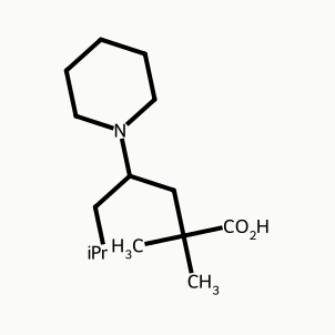 CC(C)CC(CC(C)(C)C(=O)O)N1CCCCC1